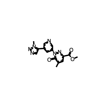 COC(=O)c1cc(C)c(=O)n(-c2cncc(-c3cnnn3C)c2)n1